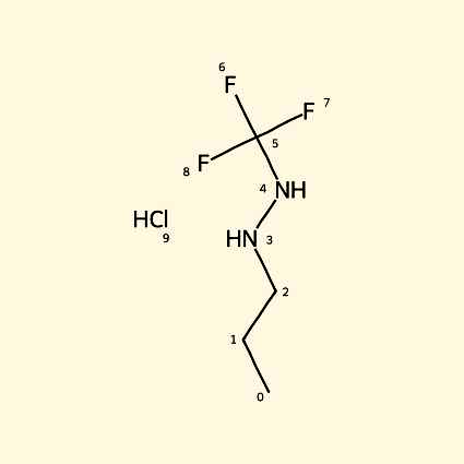 CCCNNC(F)(F)F.Cl